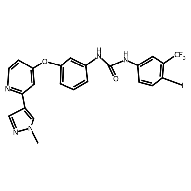 Cn1cc(-c2cc(Oc3cccc(NC(=O)Nc4ccc(I)c(C(F)(F)F)c4)c3)ccn2)cn1